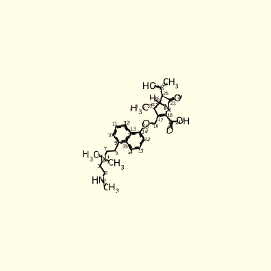 CNCC[N+](C)(C)CCc1cccc2c(OCC3=C(C(=O)O)N4C(=O)[C@H]([C@@H](C)O)[C@H]4[C@H]3C)cccc12